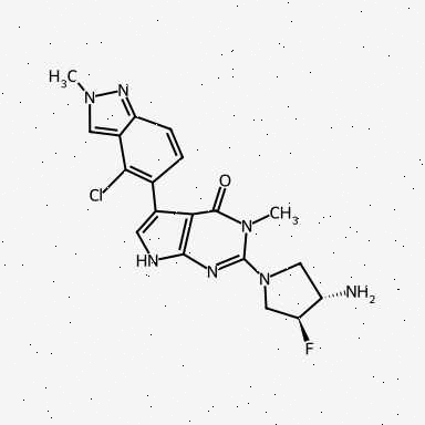 Cn1cc2c(Cl)c(-c3c[nH]c4nc(N5C[C@H](N)[C@@H](F)C5)n(C)c(=O)c34)ccc2n1